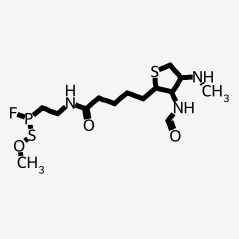 CNC1CSC(CCCCC(=O)NCCP(F)SOC)C1NC=O